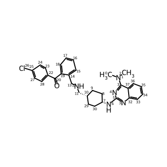 CN(C)c1nc(N[C@H]2CC[C@@H](CNCc3ccccc3C(=O)c3ccc(Cl)cc3)CC2)nc2ccccc12